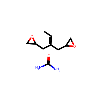 CC=C(CC1CO1)CC1CO1.NC(N)=O